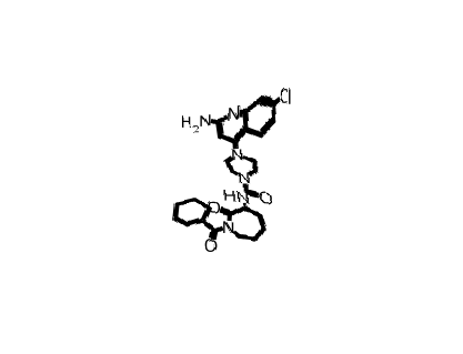 Nc1cc(N2CCN(C(=O)N[C@H]3CCCCN(C(=O)C4CCCCC4)C3=O)CC2)c2ccc(Cl)cc2n1